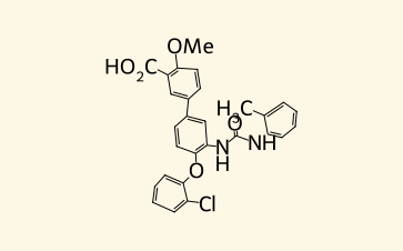 COc1ccc(-c2ccc(Oc3ccccc3Cl)c(NC(=O)Nc3ccccc3C)c2)cc1C(=O)O